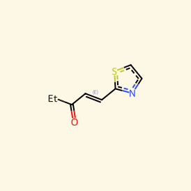 CCC(=O)/C=C/c1nccs1